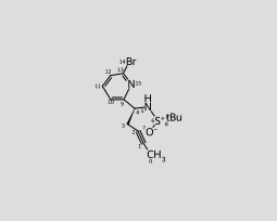 CC#CC[C@H](N[S@@+]([O-])C(C)(C)C)c1cccc(Br)n1